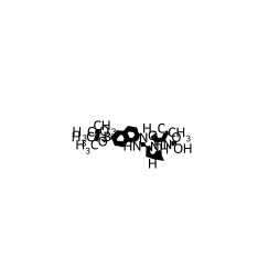 CC(C)[C@H](NC(=O)O)C(=O)N1[C@@H]2C[C@@H]2C[C@H]1c1nc2ccc3cc(B4OC(C)(C)C(C)(C)O4)ccc3c2[nH]1